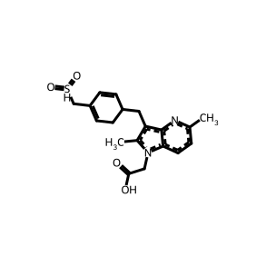 Cc1ccc2c(n1)c(CC1C=CC(C[SH](=O)=O)=CC1)c(C)n2CC(=O)O